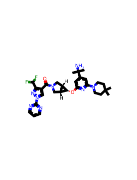 CC1(C)CCN(c2cc(C(C)(C)N)cc(O[C@@H]3[C@@H]4CN(C(=O)c5cn(-c6ncccn6)nc5C(F)F)C[C@@H]43)n2)CC1